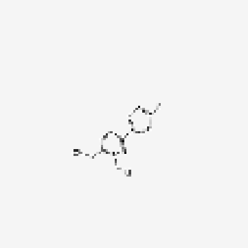 Fc1ccc(-c2ccc(CCl)c(CCl)n2)cc1